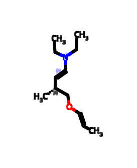 CC=COC[C@H](C)/C=C/N(CC)CC